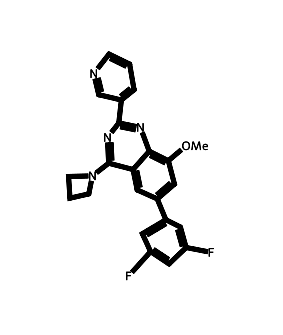 COc1cc(-c2cc(F)cc(F)c2)cc2c(N3CCC3)nc(-c3cccnc3)nc12